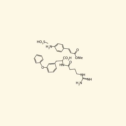 COC(=O)C=Cc1ccc(N)cc1.CS(=O)(=O)O.N=C(N)NCCCC(=O)NC(Cc1cccc(Oc2ccccc2)c1)C(=O)O